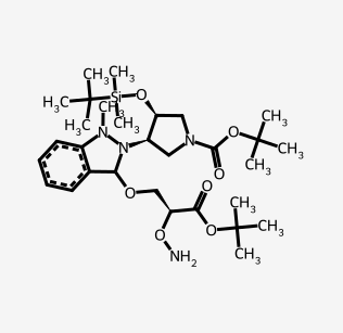 CN1c2ccccc2C(OC[C@H](ON)C(=O)OC(C)(C)C)N1[C@@H]1CN(C(=O)OC(C)(C)C)C[C@@H]1O[Si](C)(C)C(C)(C)C